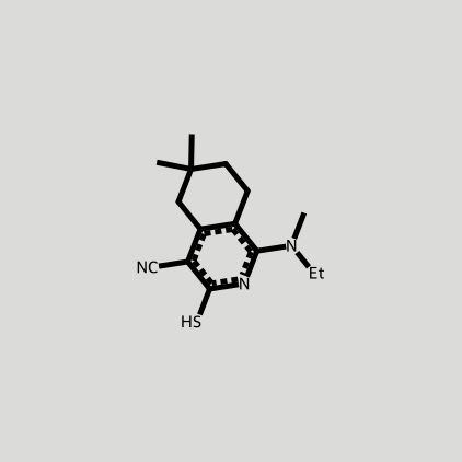 CCN(C)c1nc(S)c(C#N)c2c1CCC(C)(C)C2